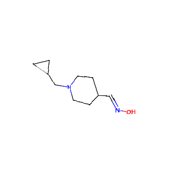 ON=CC1CCN(CC2CC2)CC1